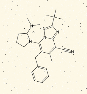 Cc1c(Cc2ccccc2)c(N2CCCC2N(C)C)n2nc(C(C)(C)C)nc2c1C#N